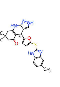 Cc1ccc2[nH]c(Sc3ccc([C@H]4C5=C(CC(C)(C)CC5=O)Nc5n[nH]cc54)o3)nc2c1